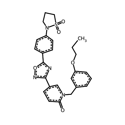 CCCOc1cccc(Cn2cc(-c3noc(-c4ccc(N5CCCS5(=O)=O)cc4)n3)ccc2=O)c1